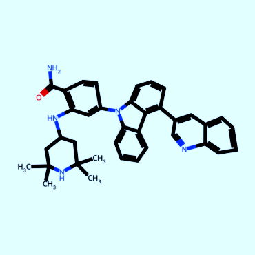 CC1(C)CC(Nc2cc(-n3c4ccccc4c4c(-c5cnc6ccccc6c5)cccc43)ccc2C(N)=O)CC(C)(C)N1